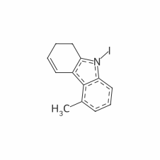 Cc1cccc2c1c1c(n2I)CCC=C1